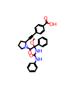 COC(NC(=O)Nc1ccccc1)(C(=O)N1CCCC1C#Cc1ccc(C(=O)O)cc1)c1ccccc1